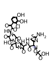 CC(C)(O/N=C(\C(=O)NC1C(=O)N2CC(C(=O)O)(N3CC(=O)N(NC(=O)C(=O)c4ccc(O)c(O)c4Cl)CC3=O)S[C@H]12)c1csc(N)n1)C(=O)O